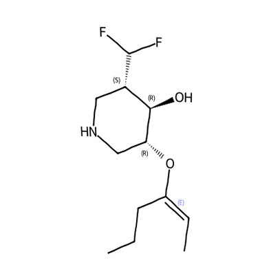 C/C=C(\CCC)O[C@@H]1CNC[C@H](C(F)F)[C@H]1O